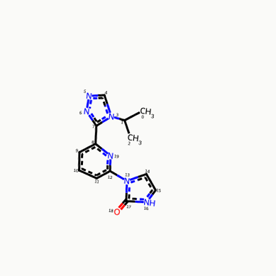 CC(C)n1cnnc1-c1cccc(-n2cc[nH]c2=O)n1